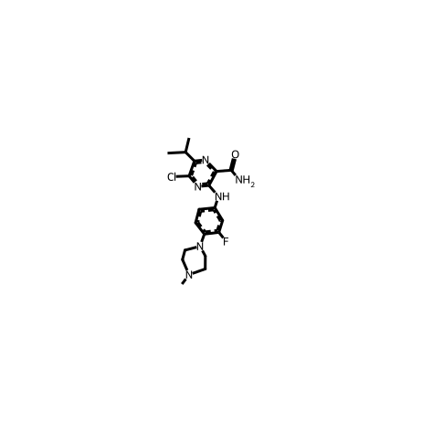 CC(C)c1nc(C(N)=O)c(Nc2ccc(N3CCN(C)CC3)c(F)c2)nc1Cl